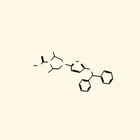 CCC1CN(c2ccc(NC(c3ccccc3)c3ccccc3)nn2)CC(C)N1C(=O)OC(C)(C)C